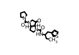 CCC(Cc1ccsc1)NC(=O)N1CC[C@@H]2[C@H]1C(=O)CN2C(=O)N1CCCC1